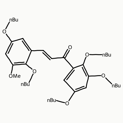 CCCCOc1cc(C=CC(=O)c2cc(OCCCC)cc(OCCCC)c2OCCCC)c(OCCCC)c(OC)c1